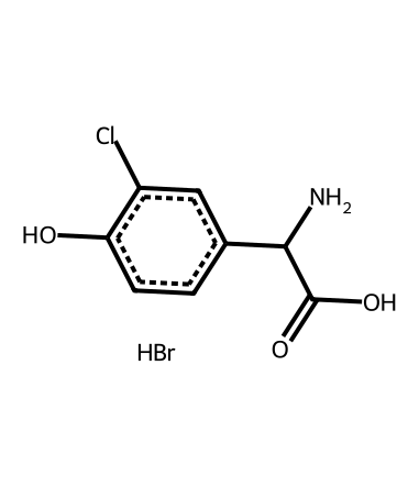 Br.NC(C(=O)O)c1ccc(O)c(Cl)c1